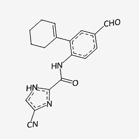 N#Cc1c[nH]c(C(=O)Nc2ccc(C=O)cc2C2=CCCCC2)n1